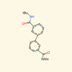 CNC(=O)c1cccc(-c2cccc(C(=O)NC(C)(C)C)c2)c1